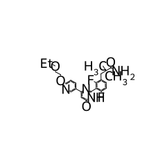 CCOCCOc1ccc(-c2cc(=O)[nH]c(-c3c(F)ccc(CC(C)(C)C(N)=O)c3F)n2)cn1